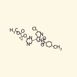 COC(=O)C1(Oc2cncc(-c3cn(S(=O)(=O)c4ccc(C)cc4)c4ncc(Cl)cc34)n2)CC1